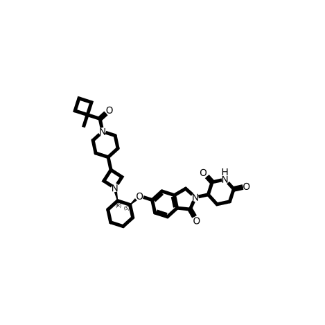 CC1(C(=O)N2CCC(C3CN([C@@H]4CCCC[C@@H]4Oc4ccc5c(c4)CN(C4CCC(=O)NC4=O)C5=O)C3)CC2)CCC1